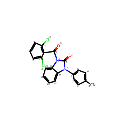 N#Cc1ccc(-n2c(=O)n(C(=O)c3c(Cl)cccc3Cl)c3ccccc32)cc1